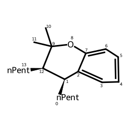 CCCCC[C@@H]1c2ccccc2OC(C)(C)[C@@H]1CCCCC